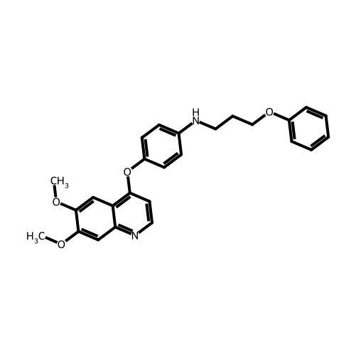 COc1cc2nccc(Oc3ccc(NCCCOc4ccccc4)cc3)c2cc1OC